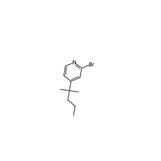 CCCC(C)(C)c1ccnc(Br)c1